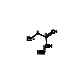 Br.CCCC(=O)O